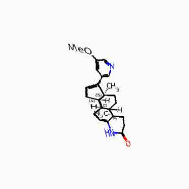 COc1cncc(C2=CC[C@H]3[C@@H]4CC=C5NC(=O)CC[C@]5(C)[C@H]4CC[C@]23C)c1